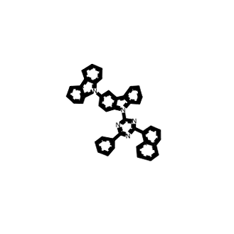 c1ccc(-c2nc(-c3cccc4ccccc34)nc(-n3c4ccccc4c4cc(-n5c6ccccc6c6ccccc65)ccc43)n2)cc1